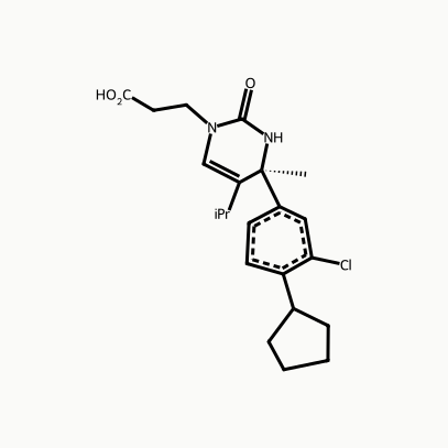 CC(C)C1=CN(CCC(=O)O)C(=O)N[C@@]1(C)c1ccc(C2CCCC2)c(Cl)c1